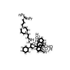 CCCN(CCC)CCCN1CCCN(CCNC[C@@H]2O[C@@H](C34C[C@@H]5[C@H](C)CC[C@H]5C5(C=O)CC3C=C(C(C)C)[C@]54C(=O)O)C[C@H]2C2CCCCC2)CC1